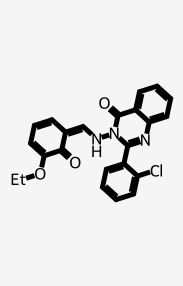 CCOC1=CC=CC(=CNn2c(-c3ccccc3Cl)nc3ccccc3c2=O)C1=O